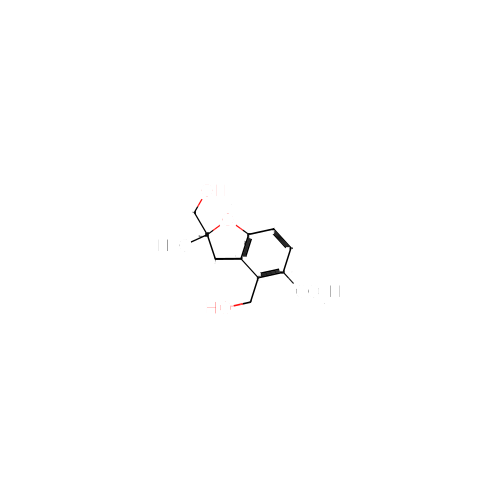 CC1(CO)Cc2c(ccc(C(=O)O)c2CO)O1